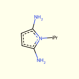 CC(C)n1c(N)ccc1N